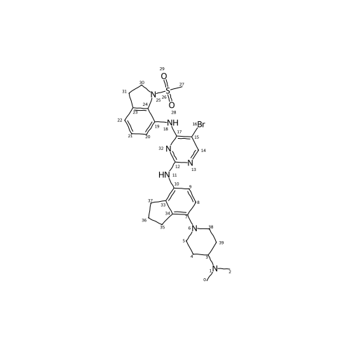 CN(C)C1CCN(c2ccc(Nc3ncc(Br)c(Nc4cccc5c4N(S(C)(=O)=O)CC5)n3)c3c2CCC3)CC1